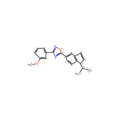 COc1cccc(-c2noc(-c3ccc4c(c3)C=CC4C(C)C)n2)c1